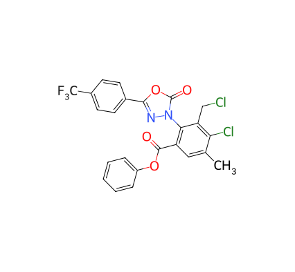 Cc1cc(C(=O)Oc2ccccc2)c(-n2nc(-c3ccc(C(F)(F)F)cc3)oc2=O)c(CCl)c1Cl